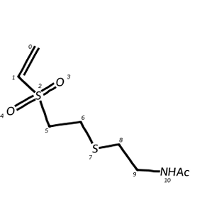 C=CS(=O)(=O)CCSCCNC(C)=O